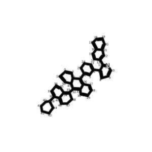 C1=CC2C(C3=CC(c4cccnc4-c4ccc5ccccc5c4)=CCC3)=c3ccccc3=C(C3=c4cccc(C5CCCCC5)c4=CCC3)C2C=C1